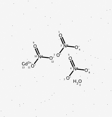 O.O=[N+]([O-])[O-].O=[N+]([O-])[O-].O=[N+]([O-])[O-].[Gd+3]